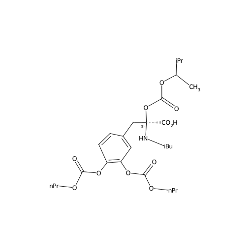 CCCOC(=O)Oc1ccc(C[C@](NC(C)CC)(OC(=O)OC(C)C(C)C)C(=O)O)cc1OC(=O)OCCC